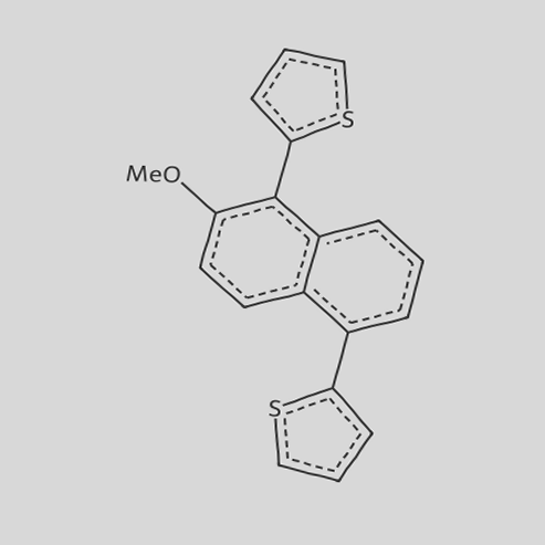 COc1ccc2c(-c3cccs3)cccc2c1-c1cccs1